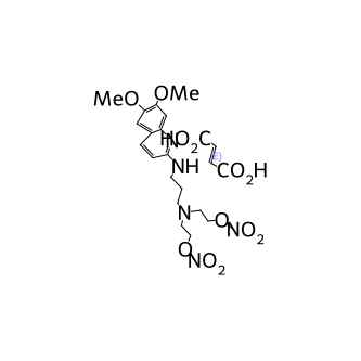 COc1cc2ccc(NCCCN(CCO[N+](=O)[O-])CCO[N+](=O)[O-])nc2cc1OC.O=C(O)/C=C/C(=O)O